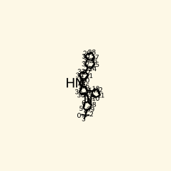 CC(C)(C)c1ccc(-n2c3ccccc3c3cc(Nc4ccc(-c5ccc6ccccc6c5)cc4)ccc32)cc1